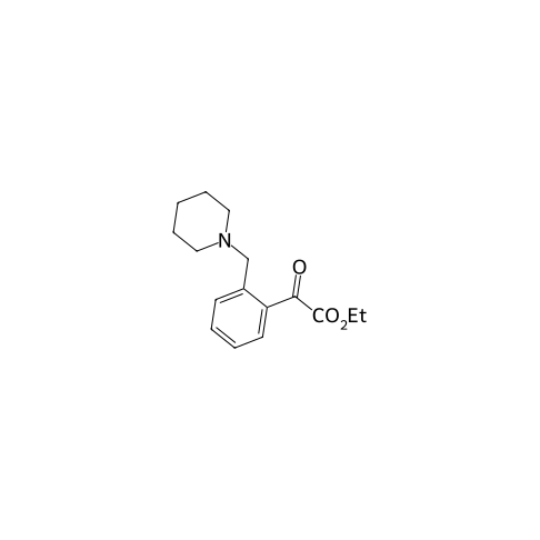 CCOC(=O)C(=O)c1ccccc1CN1CCCCC1